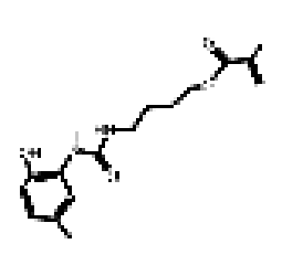 C=C(C)C(=O)OCCCCNC(=O)Nc1cc(C)ccc1O